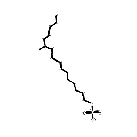 CCCCCC(C)CCCCCCCCCCOS(=O)(=O)O